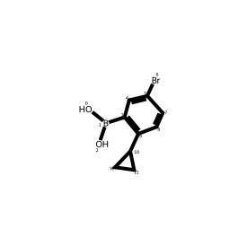 OB(O)c1cc(Br)ccc1C1CC1